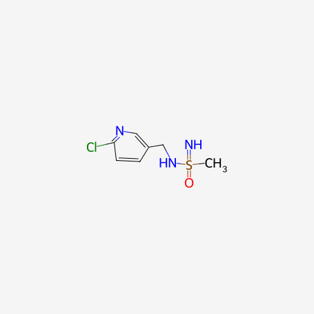 CS(=N)(=O)NCc1ccc(Cl)nc1